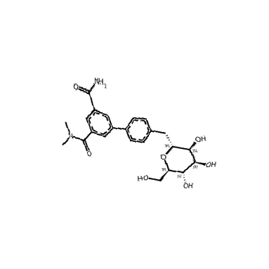 CN(C)C(=O)c1cc(C(N)=O)cc(-c2ccc(C[C@H]3O[C@H](CO)[C@@H](O)[C@H](O)[C@@H]3O)cc2)c1